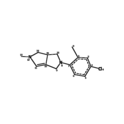 Cc1cc(Cl)ccc1N1CC2=CN(C)CC2C1